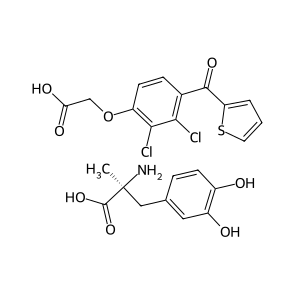 C[C@](N)(Cc1ccc(O)c(O)c1)C(=O)O.O=C(O)COc1ccc(C(=O)c2cccs2)c(Cl)c1Cl